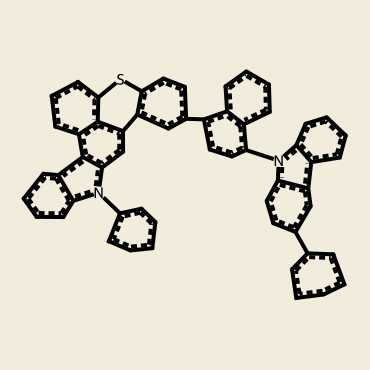 c1ccc(-c2ccc3c(c2)c2ccccc2n3-c2ccc(-c3ccc4c(c3)-c3cc5c(c6cccc(c36)S4)c3ccccc3n5-c3ccccc3)c3ccccc23)cc1